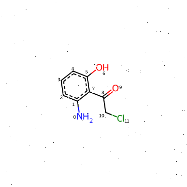 Nc1cccc(O)c1C(=O)CCl